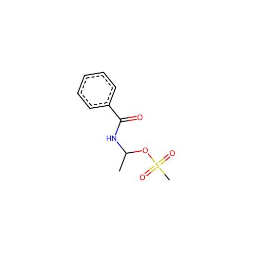 CC(NC(=O)c1ccccc1)OS(C)(=O)=O